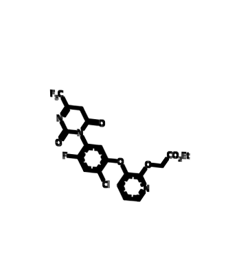 CCOC(=O)COc1ncccc1Oc1cc(N2C(=O)CC(C(F)(F)F)=NC2=O)c(F)cc1Cl